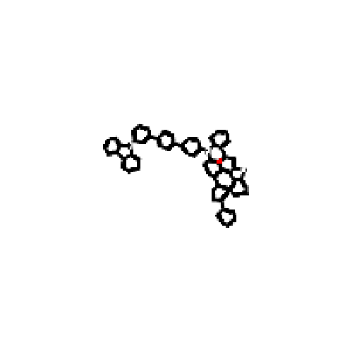 c1ccc(-c2ccc(-c3ccc(N(c4ccc(-c5ccc(-c6cccc(-n7c8ccccc8c8ccccc87)c6)cc5)cc4)c4ccccc4-c4ccc5c(c4)oc4ccccc45)cc3)cc2)cc1